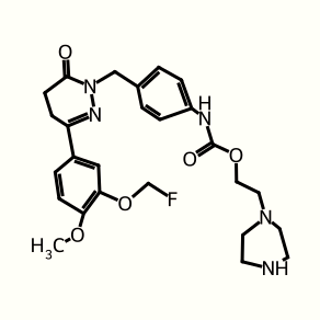 COc1ccc(C2=NN(Cc3ccc(NC(=O)OCCN4CCNCC4)cc3)C(=O)CC2)cc1OCF